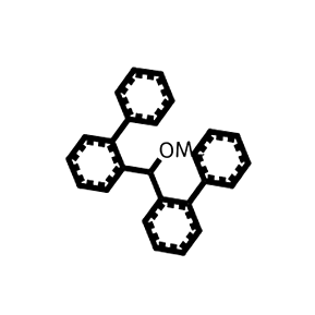 COC(c1ccccc1-c1ccccc1)c1ccccc1-c1ccccc1